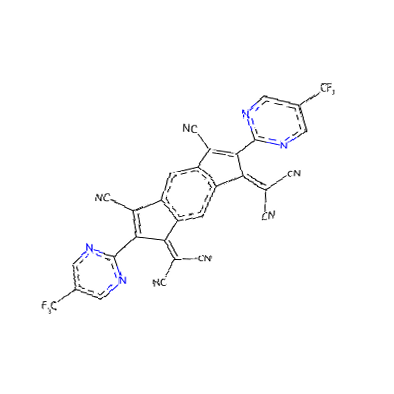 N#CC(C#N)=C1C(c2ncc(C(F)(F)F)cn2)=C(C#N)c2cc3c(cc21)C(=C(C#N)C#N)C(c1ncc(C(F)(F)F)cn1)=C3C#N